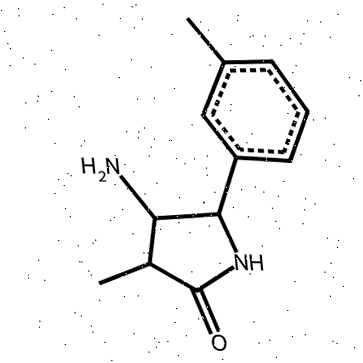 Cc1cccc(C2NC(=O)C(C)C2N)c1